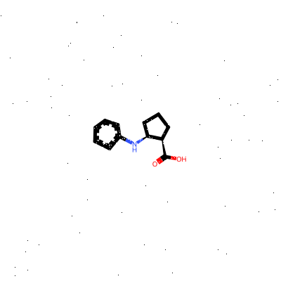 O=C(O)[C@@H]1CCC[C@@H]1Nc1ccccc1